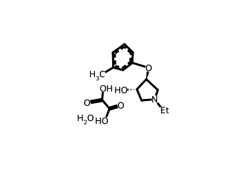 CCN1C[C@H](Oc2cccc(C)c2)[C@@H](O)C1.O.O=C(O)C(=O)O